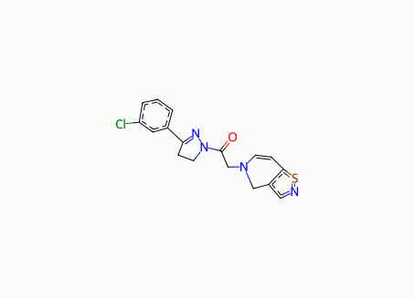 O=C(CN1C=Cc2sncc2C1)N1CCC(c2cccc(Cl)c2)=N1